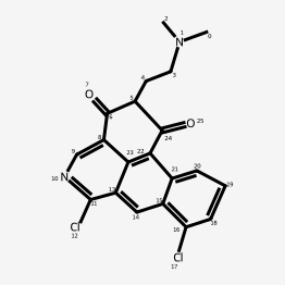 CN(C)CCC1C(=O)c2cnc(Cl)c3cc4c(Cl)cccc4c(c23)C1=O